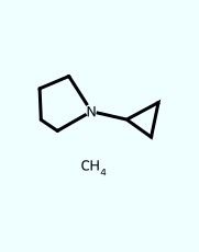 C.C1CCN(C2CC2)C1